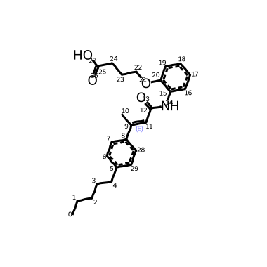 CCCCCc1ccc(/C(C)=C/C(=O)Nc2ccccc2OCCCC(=O)O)cc1